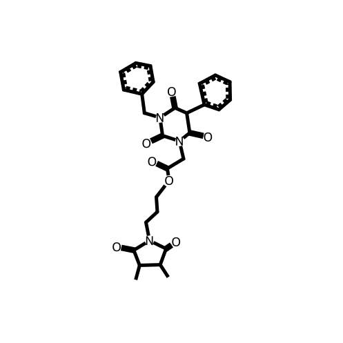 CC1C(=O)N(CCCOC(=O)CN2C(=O)C(c3ccccc3)C(=O)N(Cc3ccccc3)C2=O)C(=O)C1C